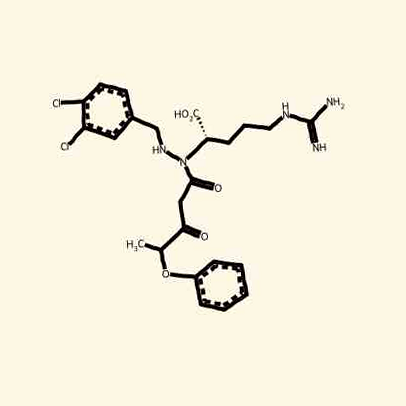 CC(Oc1ccccc1)C(=O)CC(=O)N(NCc1ccc(Cl)c(Cl)c1)[C@@H](CCCNC(=N)N)C(=O)O